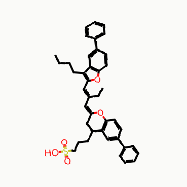 CCCCc1c(/C=C(/C=C2/CC(CCCS(=O)(=O)O)c3cc(-c4ccccc4)ccc3O2)CC)oc2ccc(-c3ccccc3)cc12